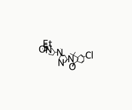 CC[S+]([O-])N1CCC(N(C)c2cncc(N3C(=O)c4ccc(Cl)cc4C3(C)C)c2)C1